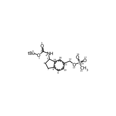 CC(C)(C)OC(=O)NC1CCc2ccc(COS(C)(=O)=O)cc21